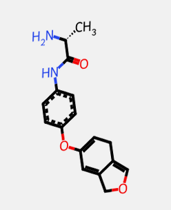 C[C@@H](N)C(=O)Nc1ccc(OC2=CCC3=COCC3=C2)cc1